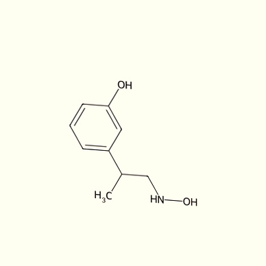 CC(CNO)c1cccc(O)c1